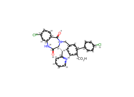 O=C(O)c1ccc(CN2C(=O)c3ccc(Cl)cc3NC(=O)[C@H]2Cc2ccccn2)cc1-c1ccc(Cl)cc1